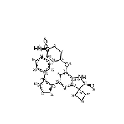 N=S1(=O)CCC(Oc2cc(-c3ccnn3-c3ccccc3)cc3c2NC(=O)C32CCC2)CC1